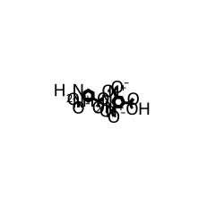 Nc1c([N+](=O)[O-])cc(C(=O)O)cc1[N+](=O)[O-].Nc1ccc(C(=O)O)cc1[N+](=O)[O-]